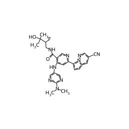 CN(C)c1ncc(Nc2cc(-c3ccc4cc(C#N)cnn34)ncc2C(=O)NCC(F)C(C)(C)O)cn1